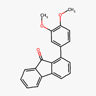 COc1ccc(-c2cccc3c2C(=O)c2ccccc2-3)cc1OC